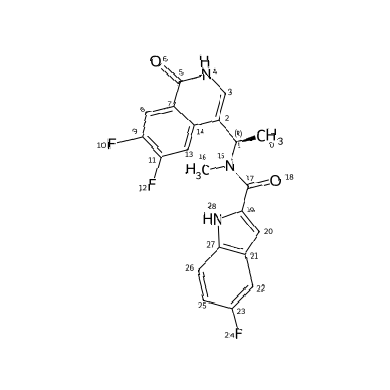 C[C@H](c1c[nH]c(=O)c2cc(F)c(F)cc12)N(C)C(=O)c1cc2cc(F)ccc2[nH]1